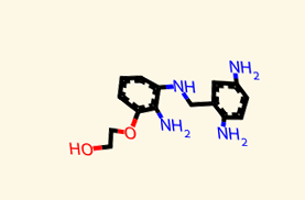 Nc1ccc(N)c(CNc2cccc(OCCO)c2N)c1